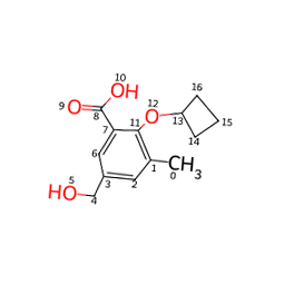 Cc1cc(CO)cc(C(=O)O)c1OC1CCC1